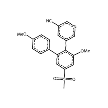 COc1ccc(-c2cc(S(C)(=O)=O)cc(OC)c2-c2cncc(C#N)c2)cc1